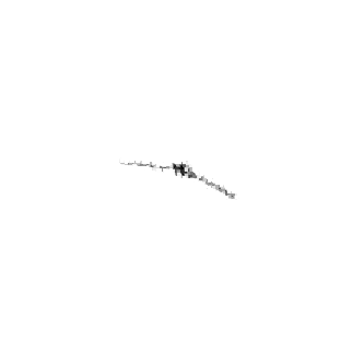 CCCCCCCCCCCCCCCCCN1C=CN(CCCCCCCCCCCCCCC)C1CC